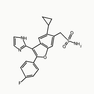 NS(=O)(=O)Cc1cc2oc(-c3ccc(F)cc3)c(-c3ncc[nH]3)c2cc1C1CC1